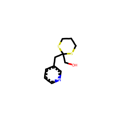 OCC1(Cc2cccnc2)SCCCS1